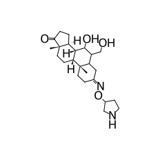 C[C@]12CCC(=NOC3CCNC3)CC1C(CO)C(O)[C@@H]1[C@H]2CC[C@]2(C)C(=O)CC[C@@H]12